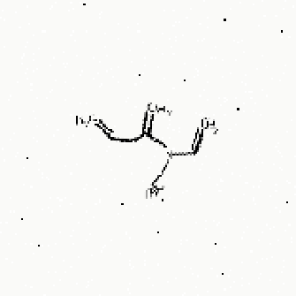 C=CC(=C)N(C=C)C(C)C